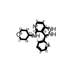 c1ccc(C2NNc3ccnc(NC4CCOCC4)c32)nc1